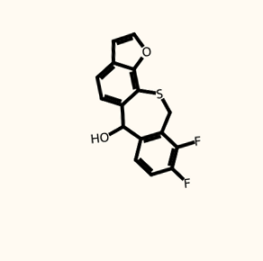 OC1c2ccc(F)c(F)c2CSc2c1ccc1ccoc21